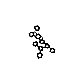 c1ccc(-c2cc(-c3ccccc3)cc(-c3cc(-c4ccccc4)ccc3-c3ccc4c(c3)sc3cc5c(cc34)c3ccccc3n5-c3ccccc3)c2)cc1